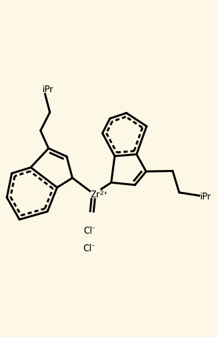 [CH2]=[Zr+2]([CH]1C=C(CCC(C)C)c2ccccc21)[CH]1C=C(CCC(C)C)c2ccccc21.[Cl-].[Cl-]